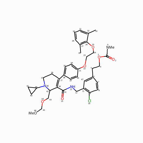 CNC(=O)OCCc1ccc(Cl)c(CNC(=O)C2=C(c3ccc(OCCOc4c(C)cccc4C)cc3)CCN(C3CC3)C2COCOC)c1